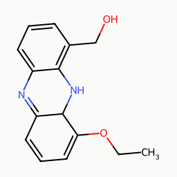 CCOC1=CC=CC2=Nc3cccc(CO)c3NC12